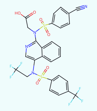 N#Cc1ccc(S(=O)(=O)N(CC(=O)O)c2ncc(N(CC(F)(F)F)S(=O)(=O)c3ccc(C(F)(F)F)cc3)c3ccccc23)cc1